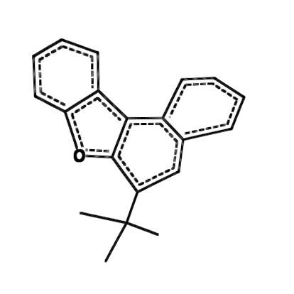 CC(C)(C)c1cc2ccccc2c2c1oc1ccccc12